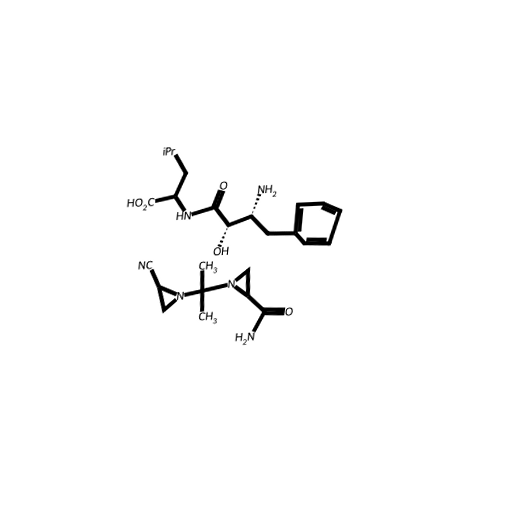 CC(C)(N1CC1C#N)N1CC1C(N)=O.CC(C)CC(NC(=O)[C@@H](O)[C@H](N)Cc1ccccc1)C(=O)O